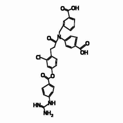 N=C(N)Nc1ccc(C(=O)Oc2ccc(CCC(=O)N(Cc3cccc(C(=O)O)c3)c3ccc(C(=O)O)cc3)c(Cl)c2)cc1